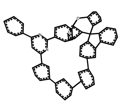 c1ccc(-c2cc(-c3cccc(-c4cccc(-c5cccc(-c6ccc7c(c6)-c6ccccc6C76c7ccccc7Oc7ccccc76)c5)c4)c3)nc(-c3ccccc3)n2)cc1